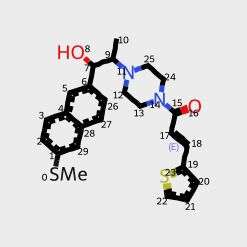 CSc1ccc2cc(C(O)C(C)N3CCN(C(=O)/C=C/c4cccs4)CC3)ccc2c1